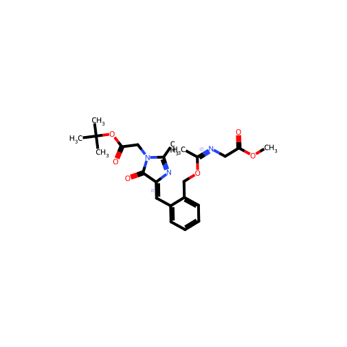 COC(=O)C/N=C(/C)OCc1ccccc1/C=C1\N=C(C)N(CC(=O)OC(C)(C)C)C1=O